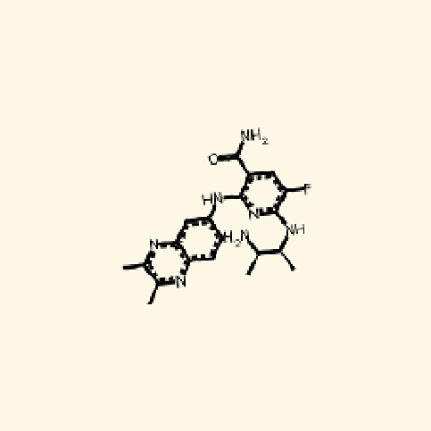 Cc1nc2ccc(Nc3nc(N[C@@H](C)[C@@H](C)N)c(F)cc3C(N)=O)cc2nc1C